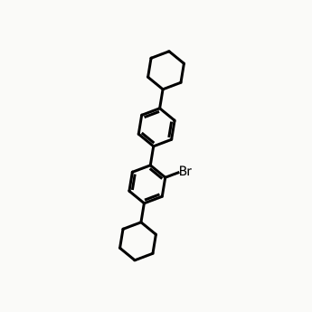 Brc1cc(C2CCCCC2)ccc1-c1ccc(C2CCCCC2)cc1